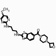 CSc1cnc(NCCCNc2nc3ccc(C(=O)N4CCN(C5COC5)CC4)cc3s2)nc1